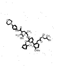 CCN(CC(=O)Cc1ccc(OC)cc1-c1ccc(NCC(C)(C)CC(C(=O)Nc2ccc(N3CCOCC3)cc2)N(C)CC(C)(C)C)c(Oc2ccccc2C)n1)CC(C)C(C)C